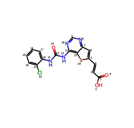 O=C(O)C=Cc1cc2ncnc(NC(=O)Nc3ccccc3Cl)c2s1